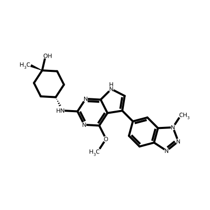 COc1nc(N[C@H]2CC[C@@](C)(O)CC2)nc2[nH]cc(-c3ccc4nnn(C)c4c3)c12